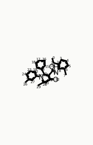 CCc1cccc(C)c1NC(=O)c1c(-c2ccccc2)n(-c2cccc(C)c2)c(C)cc1=O